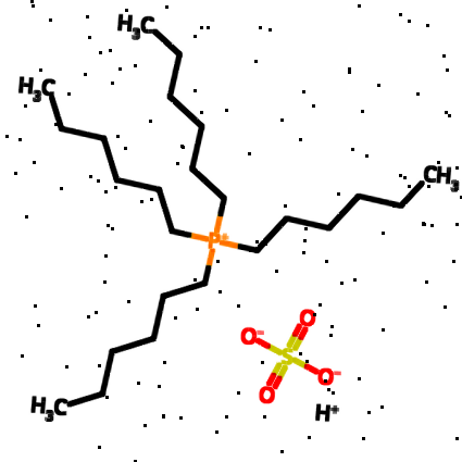 CCCCCC[P+](CCCCCC)(CCCCCC)CCCCCC.O=S(=O)([O-])[O-].[H+]